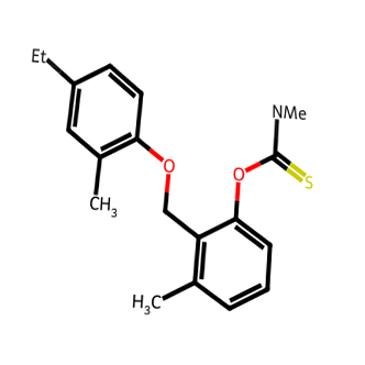 CCc1ccc(OCc2c(C)cccc2OC(=S)NC)c(C)c1